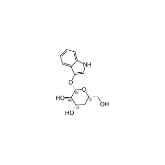 OC[C@@H]1C[C@H](O)[C@@H](O)[C@H](Oc2c[nH]c3ccccc23)O1